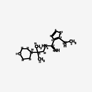 CNc1sccc1C(=N)NCC(C)(C)N1CCOCC1